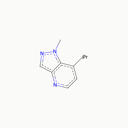 CC(C)c1ccnc2cnn(C)c12